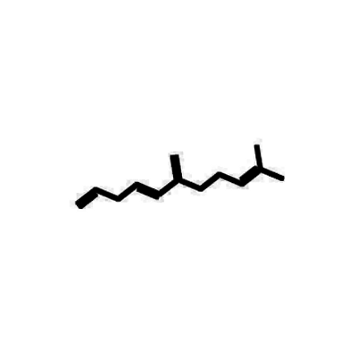 C=CCC=CC(=C)CCC=C(C)C